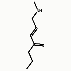 C=C(/C=C/CNC)CCC